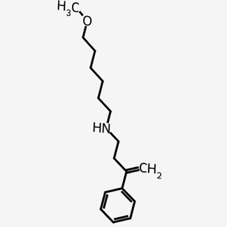 C=C(CCNCCCCCCOC)c1ccccc1